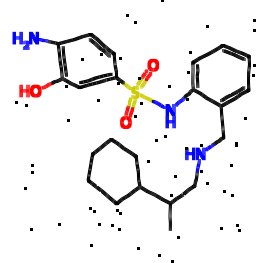 CC(CNCc1ccccc1NS(=O)(=O)c1ccc(N)c(O)c1)C1CCCCC1